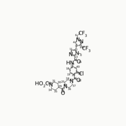 Cn1c(-c2cn(CC(F)(F)F)nc2C(F)(F)F)cnc1C(=O)Nc1ccc(C(=O)N2CCN(C(=O)C3CCN(C(=O)O)CC3)CC2)c(Cl)c1